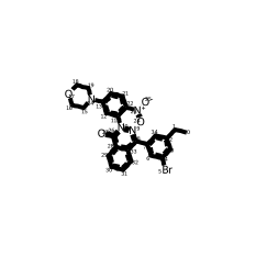 CCc1cc(Br)cc(-c2nn(-c3cc(N4CCOCC4)ccc3[N+](=O)[O-])c(=O)c3ccccc23)c1